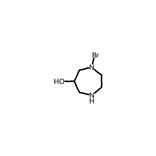 OC1CNCCN(Br)C1